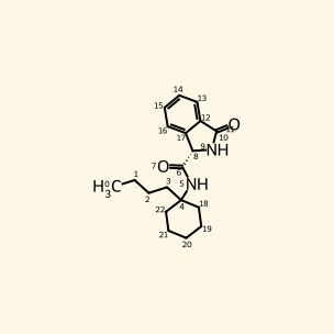 CCCCC1(NC(=O)[C@H]2NC(=O)c3ccccc32)CCCCC1